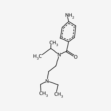 CCN(CC)CCN(C(=O)c1ccc(N)cc1)C(C)C